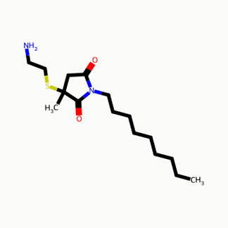 CCCCCCCCCN1C(=O)CC(C)(SCCN)C1=O